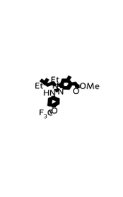 CC[C@H](CC(C)(C)CC)n1c(Nc2ccc(OC(F)(F)F)cc2)nc2cc(CC(=O)OC)c(C)cc21